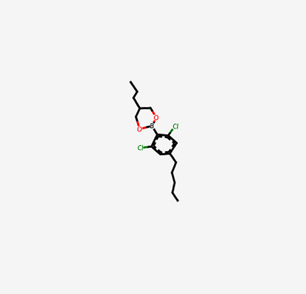 CCCCCc1cc(Cl)c(B2OCC(CCC)CO2)c(Cl)c1